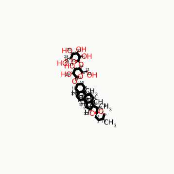 C[C@H]1CC[C@@]2(OC1)O[C@H]1C[C@H]3[C@@H]4CC[C@@H]5C[C@@H](O[C@@H]6O[C@H](CO)[C@@H](O[C@@H]7O[C@H](CO)[C@@H](O)[C@H](O)[C@H]7O)[C@H](O)[C@H]6O)CC[C@]5(C)[C@H]4CC[C@]3(C)[C@H]1[C@@H]2C